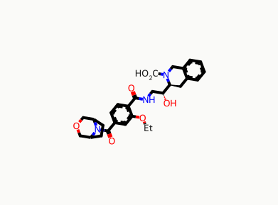 CCOc1cc(C(=O)N2C3CCC2COC3)ccc1C(=O)NC[C@@H](O)[C@@H]1Cc2ccccc2CN1C(=O)O